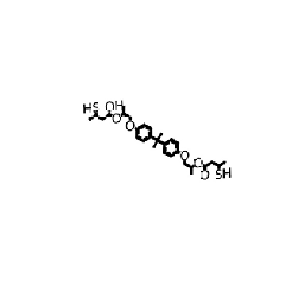 CC(S)CC(=O)OC(C)COc1ccc(C(C)(C)c2ccc(OCC(C)OC(O)CC(C)S)cc2)cc1